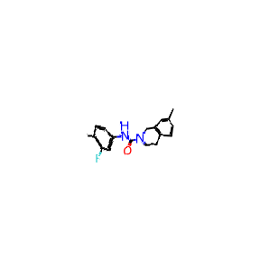 Cc1ccc2c(c1)CN(C(=O)Nc1ccc(C)c(F)c1)CC2